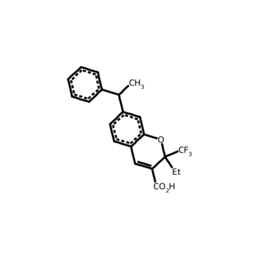 CCC1(C(F)(F)F)Oc2cc(C(C)c3ccccc3)ccc2C=C1C(=O)O